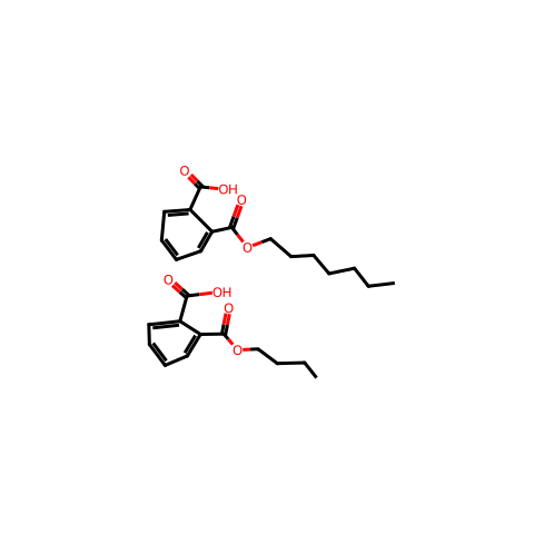 CCCCCCCOC(=O)c1ccccc1C(=O)O.CCCCOC(=O)c1ccccc1C(=O)O